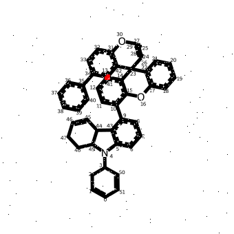 C1=CCC(N2c3cccc(-c4cccc5c4Oc4ccccc4C54c5ccccc5Oc5ccc(-c6ccccc6)cc54)c3C3C=CCCC32)C=C1